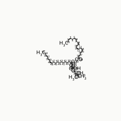 CC/C=C\C/C=C\C/C=C\C/C=C\C/C=C\CCCC(=O)OC[C@H](COP(=O)(O)OCC[N+](C)(C)C)OC(=O)CCCCCCCCC/C=C\CCCCCC